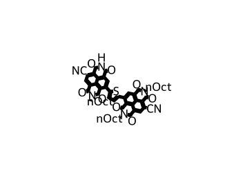 CCCCCCCCN1C(=O)c2cc(-c3ccc(-c4cc5c6c(c(C#N)cc7c6c4C(=O)N(CCCCCCCC)C7=O)C(=O)NC5=O)s3)c3c4c(cc(C#N)c(c24)C1=O)C(=O)N(CCCCCCCC)C3=O